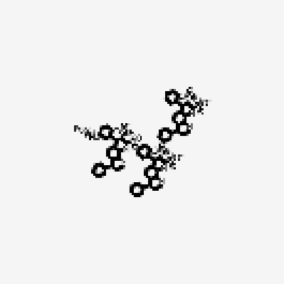 O=S(=O)([O-])c1nc2c(ccc3c(-c4ccccc4)ccnc32)c(-c2ccccc2)c1S(=O)(=O)[O-].O=S(=O)([O-])c1nc2c(ccc3c(-c4ccccc4)ccnc32)c(-c2ccccc2)c1S(=O)(=O)[O-].O=S(=O)([O-])c1nc2c(ccc3c(-c4ccccc4)ccnc32)c(-c2ccccc2)c1S(=O)(=O)[O-].[Fe+2].[Na+].[Na+].[Na+].[Na+]